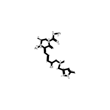 C=C1/C(=C\C=C\C(CC)CN(C)Cc2cc(C)on2)N(C(C)=O)[C@@H](C)CN1C(=O)OC(C)C